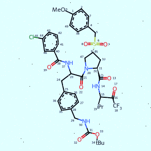 COc1ccc(CS(=O)(=O)[C@@H]2C[C@@H](C(=O)NC(C(=O)C(F)(F)F)C(C)C)N(C(=O)C(Cc3ccc(CNC(=O)OC(C)(C)C)cc3)NC(=O)c3cccc(Cl)c3)C2)cc1